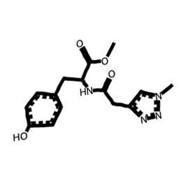 COC(=O)C(Cc1ccc(O)cc1)NC(=O)Cc1cn(C)nn1